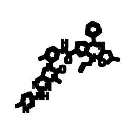 C=CCN1C(=O)C(CC(C)C)N=C(c2ccccc2)c2ccc(C(=O)Nc3ccc(C)c(N4Cc5cnc(Nc6ccc(C)nc6)nc5N(C)C4=O)c3)cc21